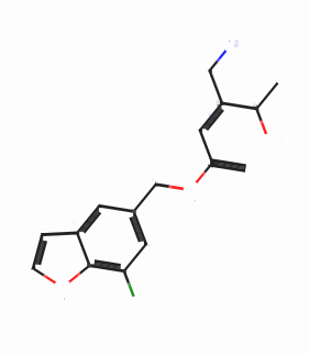 C=C(/C=C(/CN)C(C)O)OCc1cc(Br)c2occc2c1